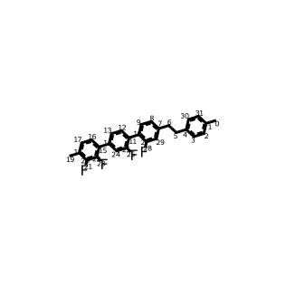 Cc1ccc(CCc2ccc(-c3ccc(-c4ccc(C)c(F)c4F)cc3F)c(F)c2)cc1